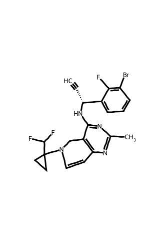 C#C[C@@H](Nc1nc(C)nc2c1CN(C1(C(F)F)CC1)C=C2)c1cccc(Br)c1F